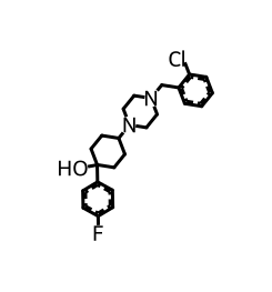 OC1(c2ccc(F)cc2)CCC(N2CCN(Cc3ccccc3Cl)CC2)CC1